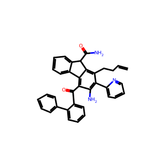 C=CCCc1c(-c2ccccn2)c(N)c(C(=O)c2ccccc2-c2ccccc2)c2c1C(C(N)=O)c1ccccc1-2